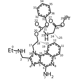 CCNCc1nc2c(N)nc3ccccc3c2n1C[C@@H](C)O[P@@](=O)(N[C@@H](C)C(=O)OC(C)C)Oc1ccccc1